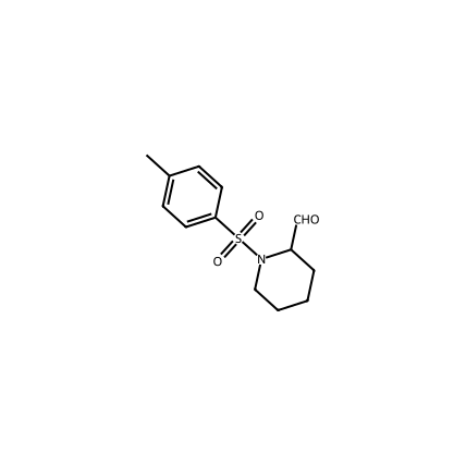 Cc1ccc(S(=O)(=O)N2CCCCC2C=O)cc1